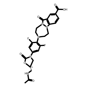 CC(=O)NC[C@H]1CN(c2cc(F)c(N3CCn4c(=O)c5cc(C(=O)O)ccc5n4CC3)c(F)c2)C(=O)O1